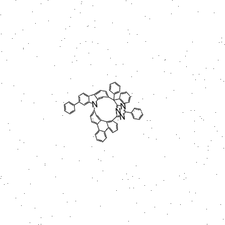 c1ccc(-c2ccc3c4ccc5cc4n(c3c2)-c2ccc3c4ccccc4c4cccc(c4c3c2)-c2nc(-c3ccccc3)nc(n2)C5(c2ccccc2)c2ccccc2)cc1